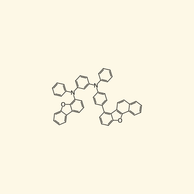 c1ccc(N(c2ccc(-c3cccc4oc5c6ccccc6ccc5c34)cc2)c2cccc(N(c3ccccc3)c3cccc4c3oc3ccccc34)c2)cc1